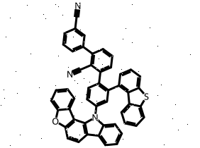 N#Cc1cccc(-c2cccc(-c3ccc(-n4c5ccccc5c5ccc6oc7ccccc7c6c54)cc3-c3cccc4sc5ccccc5c34)c2C#N)c1